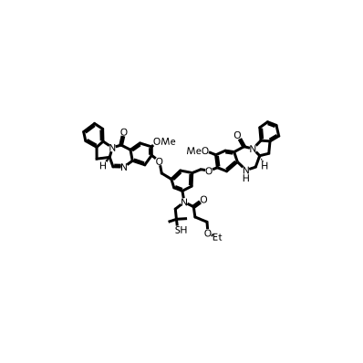 CCOCCC(=O)N(CC(C)(C)S)c1cc(COc2cc3c(cc2OC)C(=O)N2c4ccccc4C[C@H]2C=N3)cc(COc2cc3c(cc2OC)C(=O)N2c4ccccc4C[C@H]2CN3)c1